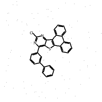 Clc1nc(-c2cccc(-c3ccccc3)c2)c2sc3c4ccccc4c4ccccc4c3c2n1